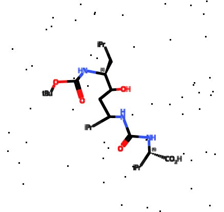 CC(C)C[C@H](NC(=O)OC(C)(C)C)C(O)CC(NC(=O)N[C@H](C(=O)O)C(C)C)C(C)C